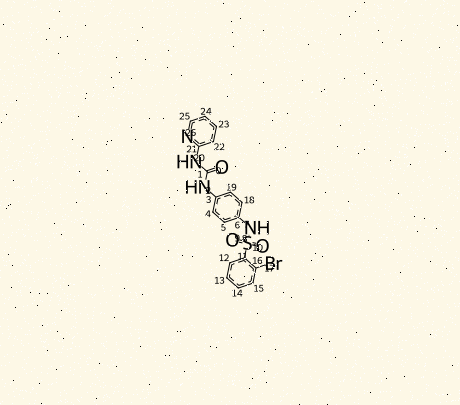 O=C(Nc1ccc(NS(=O)(=O)c2ccccc2Br)cc1)Nc1ccccn1